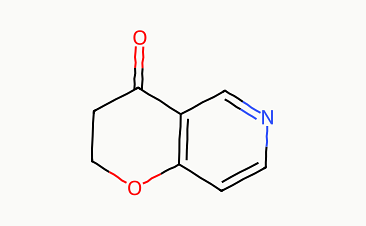 O=C1CCOc2ccncc21